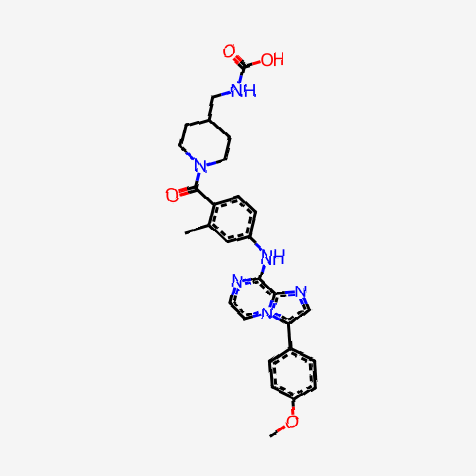 COc1ccc(-c2cnc3c(Nc4ccc(C(=O)N5CCC(CNC(=O)O)CC5)c(C)c4)nccn23)cc1